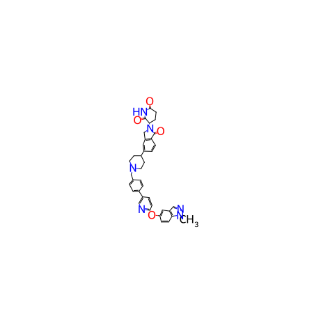 Cn1ncc2cc(Oc3ccc(-c4ccc(CN5CCC(c6ccc7c(c6)CN(C6CCC(=O)NC6=O)C7=O)CC5)cc4)cn3)ccc21